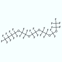 FC(F)(OC(F)(F)C(F)(F)F)OC(F)(F)C(F)(F)OC(F)(F)C(F)(F)OC(F)(F)C(F)(F)OC(F)(F)C(F)(F)C(F)(F)C(F)(F)F